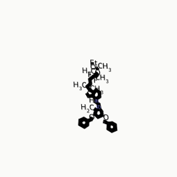 C=C1/C(=C\C=C2/CCC[C@]3(C)[C@@H]([C@H](C)CCC(F)(F)C(C)(C)OC(C)OCC)CC[C@@H]23)C[C@@H](OCc2ccccc2)C[C@@H]1OCc1ccccc1